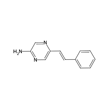 Nc1cnc(/C=C/c2ccccc2)cn1